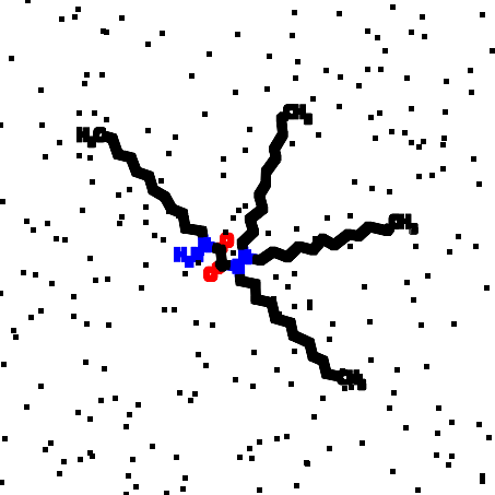 CCCCCCCCCCCCN(N)C(=O)C(=O)N(CCCCCCCCCCCC)N(CCCCCCCCCCCC)CCCCCCCCCCCC